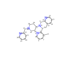 Cc1cccnc1CN(Cc1ncccc1C)C1CCN(Cc2ccccn2)CC1